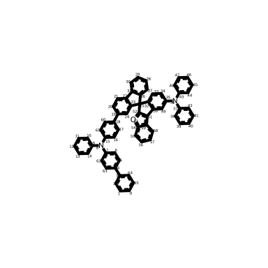 c1ccc(-c2ccc(N(c3ccccc3)c3ccc(-c4ccc5c(c4)C4(c6ccccc6-5)c5ccc(N(c6ccccc6)c6ccccc6)cc5-c5c4oc4ccccc54)cc3)cc2)cc1